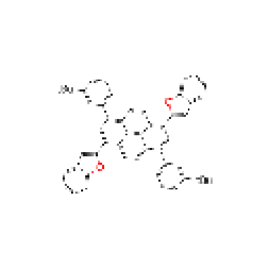 CC(C)(C)c1cccc(-c2cc(-c3cc4ccccc4o3)c3ccc4c(-c5cccc(C(C)(C)C)c5)cc(-c5cc6ccccc6o5)c5ccc2c3c45)c1